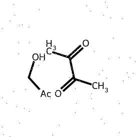 CC(=O)C(C)=O.CC(=O)CO